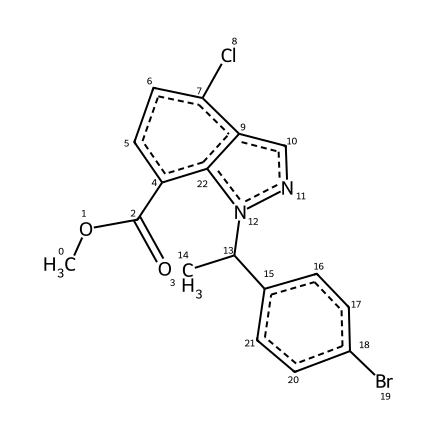 COC(=O)c1ccc(Cl)c2cnn(C(C)c3ccc(Br)cc3)c12